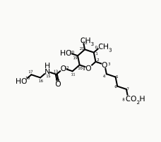 CC1C(OCCCCC(=O)O)OC(COC(=O)NCCO)C(O)C1C